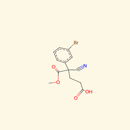 COC(=O)C(C#N)(CCC(=O)O)c1cccc(Br)c1